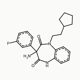 NC1(c2cccc(F)c2)C(=O)Nc2ccccc2N(CCC2CCCC2)C1=O